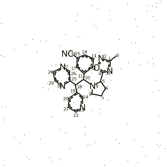 Cc1noc(C2CCCN2C(c2cccc(C#N)c2)C(c2cccnc2)c2cnccn2)n1